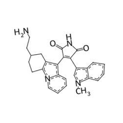 Cn1cc(C2=C(c3c4c(n5ccccc35)CCC(CCN)C4)C(=O)NC2=O)c2ccccc21